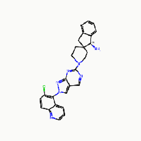 N[C@@H]1c2ccccc2CC12CCN(c1ncc3cn(-c4c(Cl)ccc5ncccc45)nc3n1)CC2